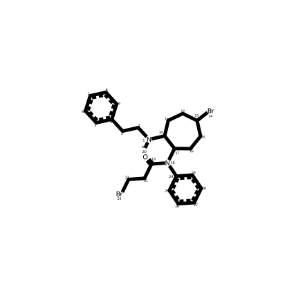 CN(CCc1ccccc1)C1CCC(Br)CCC1N(C(=O)CCBr)c1ccccc1